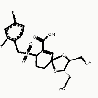 O=C(O)C1=CC2(CCC1S(=O)(=O)Cc1ccc(F)cc1Cl)O[C@@H](CO)[C@H](CO)O2